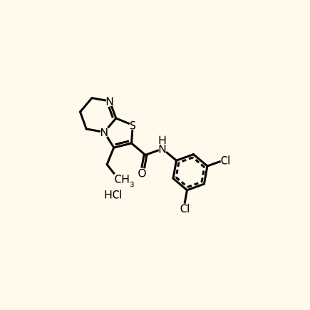 CCC1=C(C(=O)Nc2cc(Cl)cc(Cl)c2)SC2=NCCCN21.Cl